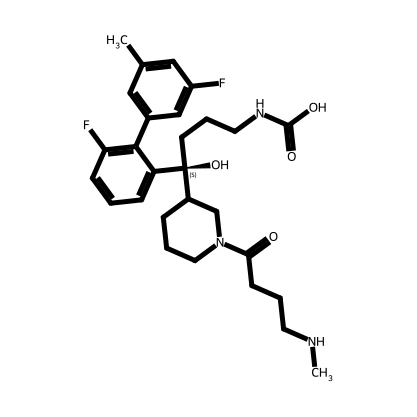 CNCCCC(=O)N1CCCC([C@@](O)(CCCNC(=O)O)c2cccc(F)c2-c2cc(C)cc(F)c2)C1